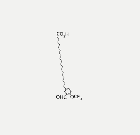 O=Cc1cc(CCCCCCCCCCCCCCCCCCCC(=O)O)ccc1OC(F)(F)F